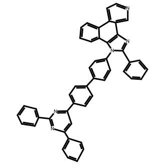 c1ccc(-c2cc(-c3ccc(-c4ccc(-n5c(-c6ccccc6)nc6c7cnccc7c7ccccc7c65)cc4)cc3)nc(-c3ccccc3)n2)cc1